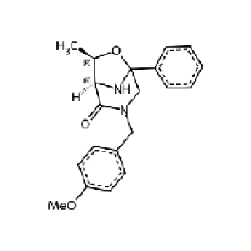 COc1ccc(CN2CC3(c4ccccc4)N[C@@H](C2=O)[C@@H](C)O3)cc1